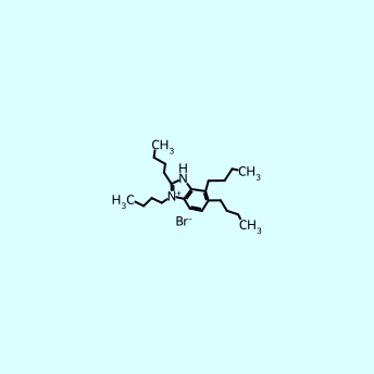 CCCCc1ccc2c([nH]c(CCCC)[n+]2CCCC)c1CCCC.[Br-]